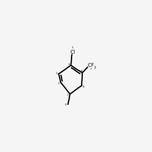 CC1C=CC(Cl)=C(C(F)(F)F)C1